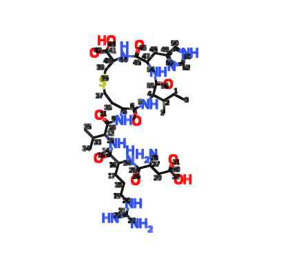 CCC(C)C1NC(=O)C(NC(=O)C(NC(=O)C(CCCNC(=N)N)NC(=O)C(N)CC(=O)O)C(C)C)CCSCC(C(=O)O)NC(=O)C(Cc2c[nH]cn2)NC1=O